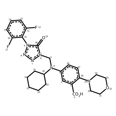 O=C(O)c1cc(N(Cn2nnn(-c3c(F)cccc3F)c2=O)C2CCCCC2)ccc1N1CCOCC1